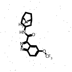 CN1C2CCC1CC(NC(=O)C1=NN=C3CC=C(OC(F)(F)F)C=C31)C2